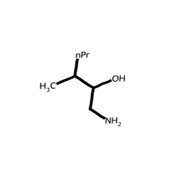 CCCC(C)C(O)CN